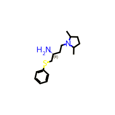 CC1CCC(C)N1CC[C@@H](N)CSc1ccccc1